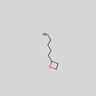 CCCCCCCC[C]1CCO1